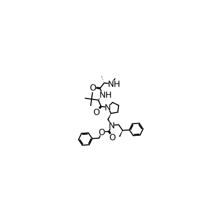 CN[C@@H](C)C(=O)N[C@H](C(=O)N1CCC[C@H]1CN(C[C@H](C)c1ccccc1)C(=O)OCc1ccccc1)C(C)(C)C